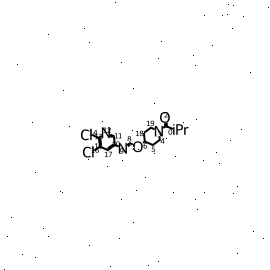 CC(C)C(=O)N1CCC(O/C=N/c2cnc(Cl)c(Cl)c2)CC1